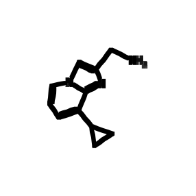 NCc1cn2cccc(C3CC3)c2n1